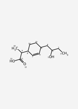 CCC(O)CC1C=CC(C(C)C(=O)O)CC1